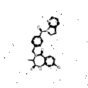 CC1C(=O)Nc2cc(Cl)ccc2C(=O)N1Cc1ccc(C(=O)N2CCc3cccnc32)cc1